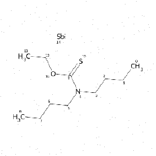 CCCCN(CCCC)C(=S)OCC.[Sb]